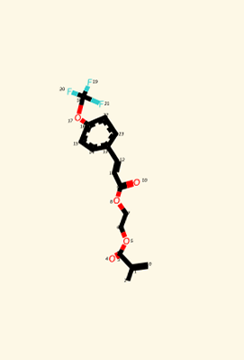 C=C(C)C(=O)OCCOC(=O)/C=C/c1ccc(OC(F)(F)F)cc1